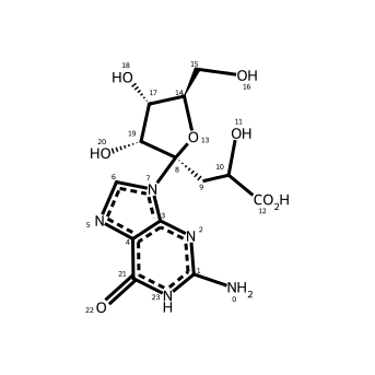 Nc1nc2c(ncn2[C@]2(CC(O)C(=O)O)O[C@H](CO)[C@@H](O)[C@H]2O)c(=O)[nH]1